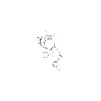 CCC(=O)/N=C1\[C@H](C)C[C@@]2(C)OCC(=NOCc3coc(-c4cccc(N)n4)n3)CO[C@H]([C@H]1C)[C@](C)(O)[C@@H](CC)OC(=O)[C@@](C)(F)C(=O)[C@H](C)[C@H]2O[C@@H]1O[C@H](C)C[C@H](N(C)C)[C@H]1OC(C)=O